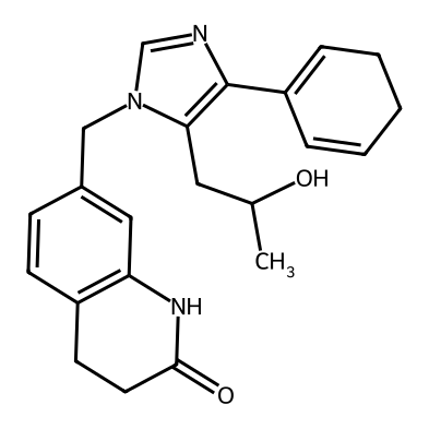 CC(O)Cc1c(C2=CCCC=C2)ncn1Cc1ccc2c(c1)NC(=O)CC2